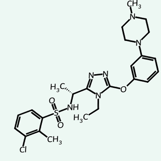 CCn1c(Oc2cccc(N3CCN(C)CC3)c2)nnc1[C@@H](C)NS(=O)(=O)c1cccc(Cl)c1C